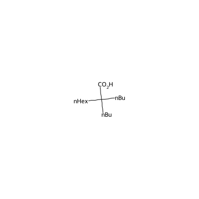 CCCCCCC(CCCC)(CCCC)C(=O)O